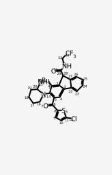 CCCCc1c2c(cc(C(=O)c3ccc(Cl)s3)c1N1CCCCC1N)-c1ccccc1C2C(=O)NCC(F)(F)F